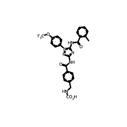 Cc1ccccc1C(=O)Nc1nc(NC(=O)c2ccc(CNC(=O)O)cc2)nn1-c1ccc(OC(F)(F)F)cc1